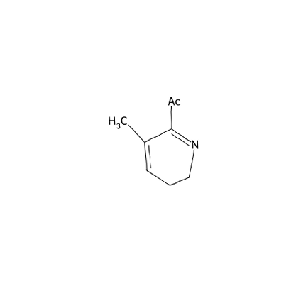 CC(=O)C1=NCCC=C1C